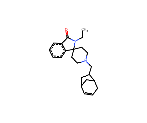 CCN1C(=O)c2ccccc2C12CCN(CC1CC3C=CCC1C3)CC2